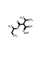 CCC(C)OC(=O)C(C(=O)O)C(C)C.[NaH]